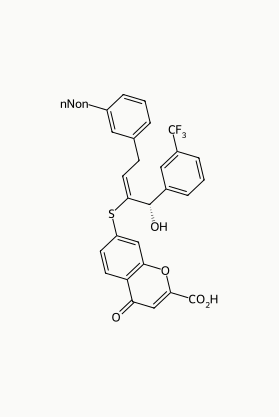 CCCCCCCCCc1cccc(CC=C(Sc2ccc3c(=O)cc(C(=O)O)oc3c2)[C@@H](O)c2cccc(C(F)(F)F)c2)c1